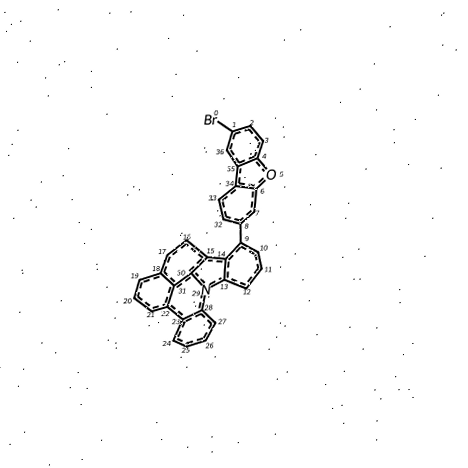 Brc1ccc2oc3cc(-c4cccc5c4c4ccc6cccc7c8ccccc8n5c4c67)ccc3c2c1